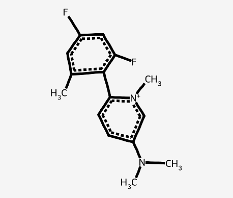 Cc1cc(F)cc(F)c1-c1ccc(N(C)C)c[n+]1C